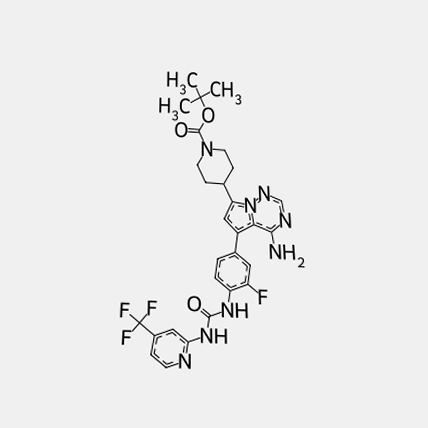 CC(C)(C)OC(=O)N1CCC(c2cc(-c3ccc(NC(=O)Nc4cc(C(F)(F)F)ccn4)c(F)c3)c3c(N)ncnn23)CC1